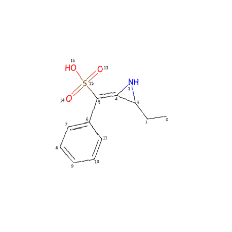 CCC1NC1=C(c1ccccc1)S(=O)(=O)O